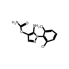 NC(=O)Oc1cnn(-c2c(Cl)cccc2Cl)c1N